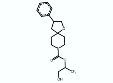 O=C(OC(CO)C(F)(F)F)N1CCC2(CC1)CC(c1ccccc1)CO2